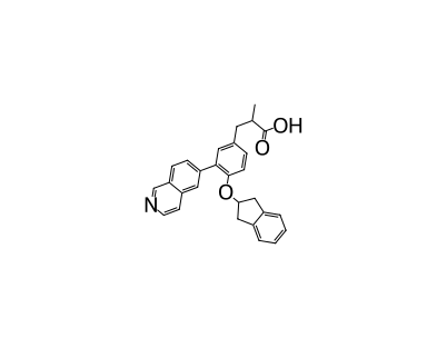 CC(Cc1ccc(OC2Cc3ccccc3C2)c(-c2ccc3cnccc3c2)c1)C(=O)O